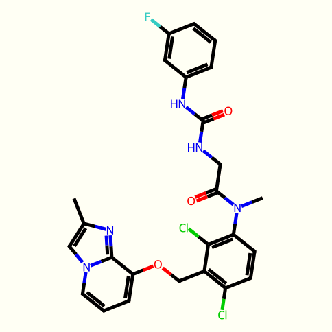 Cc1cn2cccc(OCc3c(Cl)ccc(N(C)C(=O)CNC(=O)Nc4cccc(F)c4)c3Cl)c2n1